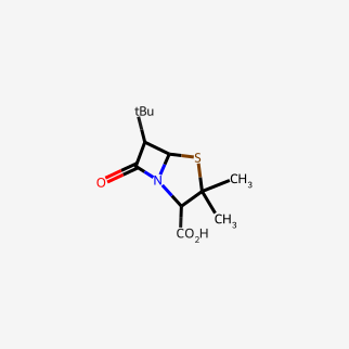 CC(C)(C)C1C(=O)N2C1SC(C)(C)C2C(=O)O